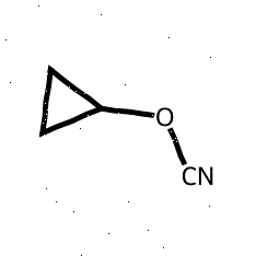 N#COC1CC1